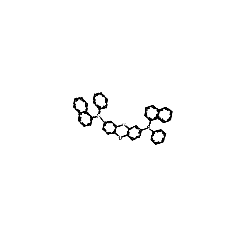 c1ccc(N(c2ccc3c(c2)Oc2cc(N(c4ccccc4)c4cccc5ccccc45)ccc2O3)c2cccc3ccccc23)cc1